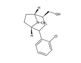 CN1[C@@H]2CC[C@H]1C(c1ccccc1Cl)C[C@@H]2CO